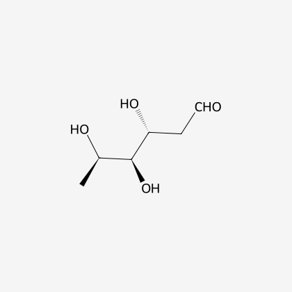 C[C@@H](O)[C@H](O)[C@H](O)CC=O